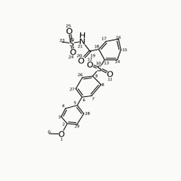 COc1ccc(-c2ccc(S(=O)(=O)c3ccccc3C(=O)NS(C)(=O)=O)cc2)cc1